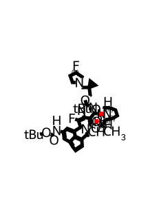 C#Cc1cccc2cc(NC(=O)OC(C)(C)C)cc(-c3nc4c5c(nc(OCC6(CN7CC[C@@H](F)C7)CC6)nc5c3F)N3C[C@H]5CC[C@@H]([C@H]3[C@H](C)O4)N5C(=O)OC(C)(C)C)c12